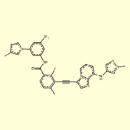 Cc1cn(-c2cc(NC(=O)c3ccc(C)c(C#Cc4cnc5c(Nc6cnn(C)c6)cccn45)c3F)cc(C(F)(F)F)c2)cn1